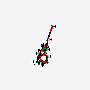 CCCC[C@H](NC(=O)[C@@H]1C[C@@H](O)CN1C(=O)[C@H](Cc1ccc(O)cc1)NC(=O)[C@H](CO)NC(=O)COCCOCCNC(=O)CCCCCCCCCCCCCCC(=O)O)C(=O)N[C@H]1CCC(=O)NCCCC[C@@H](C(N)=O)NC(=O)[C@H](Cc2c[nH]c3ccccc23)NC(=O)[C@H](CCCNC(=N)N)NC(=O)[C@@H](Cc2ccccc2)NC(=O)[C@@H]2C[C@@H](O)CN2C1=O